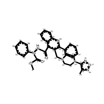 COC(=O)N(NC(=O)c1c(CN2CCN(c3nonc3C)CC2)c(-c2ccccc2)nc2ccccc12)c1ccccc1